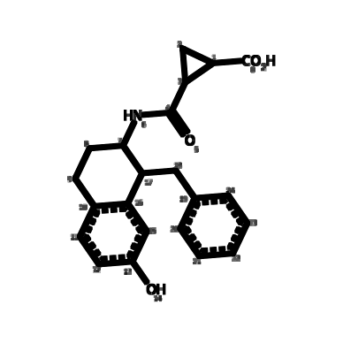 O=C(O)C1CC1C(=O)NC1CCc2ccc(O)cc2C1Cc1ccccc1